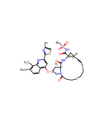 CCC(C)S(=O)(=O)NC(=O)[C@@]12C[C@@H]1/C=C\CCCCCCC(=O)N1C[C@H](Oc3cc(-c4nc(C(C)C)cs4)nc4c(C)c(OC)ccc34)C[C@H]1C(=O)N2